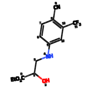 CCOC(=O)C(O)CNc1ccc(C#N)c(C(F)(F)F)c1